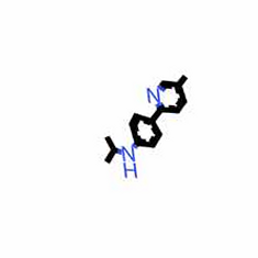 Cc1ccc(-c2ccc(NC(C)C)cc2)nc1